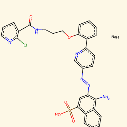 Nc1c(N=Nc2ccc(-c3ccccc3OCCCNC(=O)c3cccnc3Cl)nc2)cc(S(=O)(=O)O)c2ccccc12.[NaH]